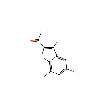 COC(=O)c1sc2c(C)cc(F)cc2c1Br